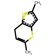 CC1=CCc2sc(C)cc2S1